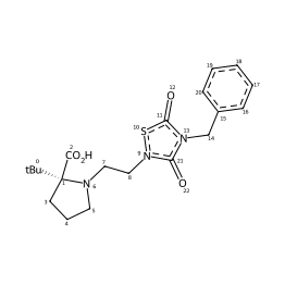 CC(C)(C)[C@@]1(C(=O)O)CCCN1CCn1sc(=O)n(Cc2ccccc2)c1=O